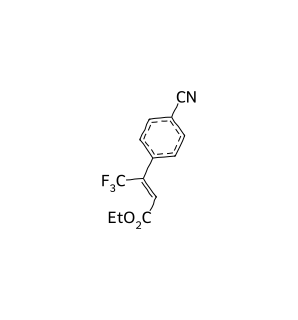 CCOC(=O)C=C(c1ccc(C#N)cc1)C(F)(F)F